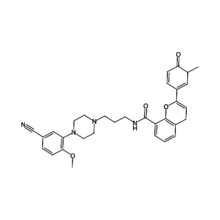 COc1ccc(C#N)cc1N1CCN(CCCNC(=O)c2cccc3c2OC(C2=CC(C)C(=O)C=C2)=CC3)CC1